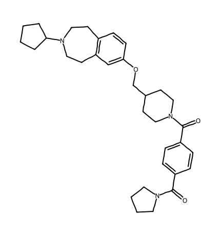 O=C(c1ccc(C(=O)N2CCC(COc3ccc4c(c3)CCN(C3CCCC3)CC4)CC2)cc1)N1CCCC1